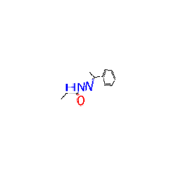 CCC(=O)NN=C(C)c1ccccc1